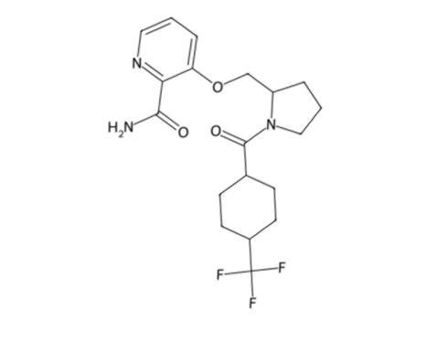 NC(=O)c1ncccc1OCC1CCCN1C(=O)C1CCC(C(F)(F)F)CC1